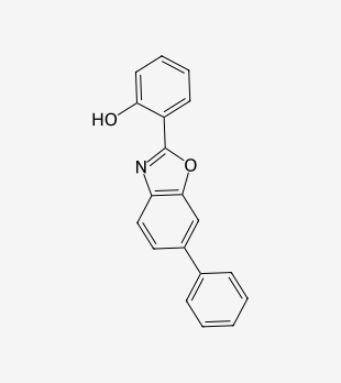 Oc1ccccc1-c1nc2ccc(-c3ccccc3)cc2o1